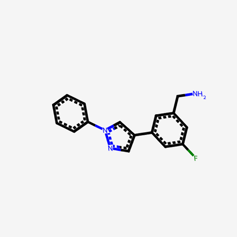 NCc1cc(F)cc(-c2cnn(-c3ccccc3)c2)c1